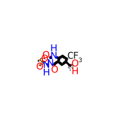 C[C@@H](O)c1cc2c(=O)n(NS(C)(=O)=O)c(=O)[nH]c2cc1C(F)(F)F